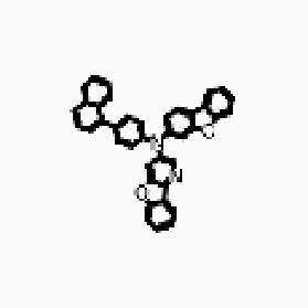 c1ccc2c(-c3ccc(N(c4ccc5c(c4)oc4ccccc45)c4cnc5c(c4)oc4ccccc45)cc3)cccc2c1